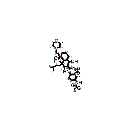 CC(C)CCC1(NS(=O)(=O)CCN2CCOCC2)C(=O)C(C2=NS(=O)(=O)c3cc(NS(C)(=O)=O)ccc3N2)=C(O)c2ccccc21